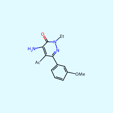 CCn1nc(-c2cccc(OC)c2)c(C(C)=O)c(N)c1=O